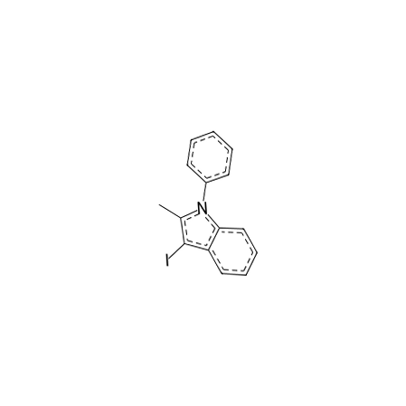 Cc1c(I)c2ccccc2n1-c1ccccc1